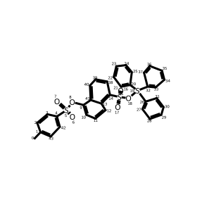 Cc1ccc(S(=O)(=O)Oc2cccc3c(S(=O)(=O)OS(c4ccccc4)(c4ccccc4)c4ccccc4)cccc23)cc1